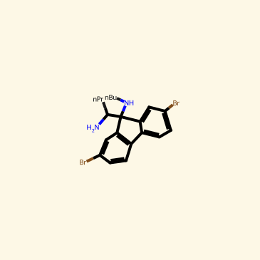 CCCCNC1(C(N)CCC)c2cc(Br)ccc2-c2ccc(Br)cc21